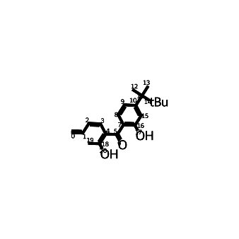 C=C/C=C\C(C(=O)c1ccc(C(C)(C)C(C)(C)C)cc1O)=C(/C)O